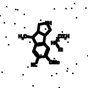 CCNC(=O)O.COc1cc2c(cc1C#N)C(C)C1CNCC21